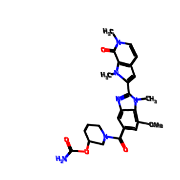 COc1cc(C(=O)N2CCCC(OC(N)=O)C2)cc2nc(-c3cc4ccn(C)c(=O)c4n3C)n(C)c12